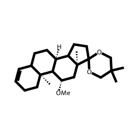 CO[C@H]1C[C@@]2(C)C(CCC23OCC(C)(C)CO3)[C@@H]2CCC3C=CCC[C@]3(C)C21